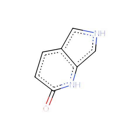 O=c1ccc2c[nH]cc2[nH]1